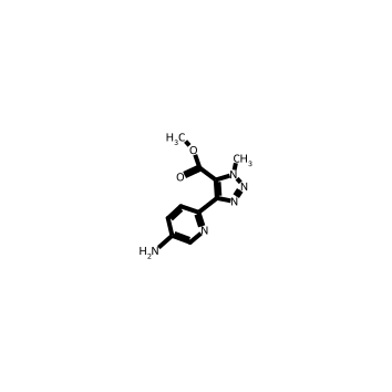 COC(=O)c1c(-c2ccc(N)cn2)nnn1C